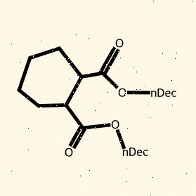 CCCCCCCCCCOC(=O)C1CCCCC1C(=O)OCCCCCCCCCC